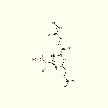 CCNC(=O)CNC(=O)[C@H](CCCCN(C)C)NC(=O)[C@@H](NO)C(C)C